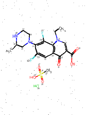 CCn1cc(C(=O)O)c(=O)c2cc(F)c(N3CCNC(C)C3)c(F)c21.CS(=O)(=O)O.Cl